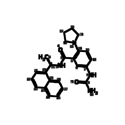 C[C@@H](NC(=O)c1cc(NC(N)=O)ccc1N1CCCC1)c1cccc2ccccc12